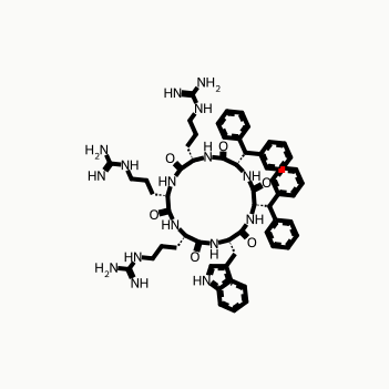 N=C(N)NCCC[C@@H]1NC(=O)[C@H](CCCNC(=N)N)NC(=O)[C@H](CCCNC(=N)N)NC(=O)[C@H](C(c2ccccc2)c2ccccc2)NC(=O)[C@H](C(c2ccccc2)c2ccccc2)NC(=O)[C@H](Cc2c[nH]c3ccccc23)NC1=O